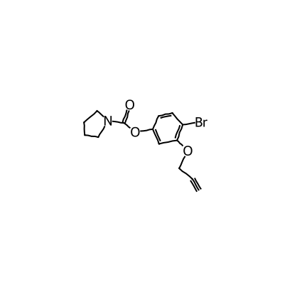 C#CCOc1cc(OC(=O)N2CCCC2)ccc1Br